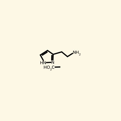 CC(=O)O.NCCc1cc[nH]n1